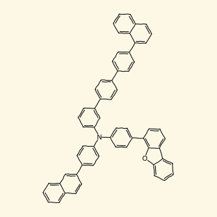 c1cc(-c2ccc(-c3ccc(-c4cccc5ccccc45)cc3)cc2)cc(N(c2ccc(-c3ccc4ccccc4c3)cc2)c2ccc(-c3cccc4c3oc3ccccc34)cc2)c1